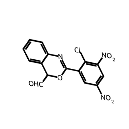 O=CC1OC(c2cc([N+](=O)[O-])cc([N+](=O)[O-])c2Cl)=Nc2ccccc21